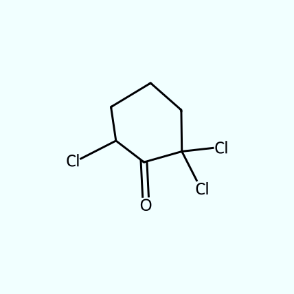 O=C1C(Cl)CCCC1(Cl)Cl